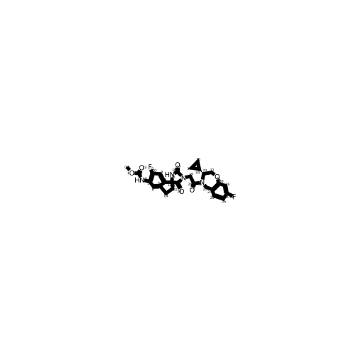 COC(=O)Nc1cc2c(cc1F)C1(CC2)NC(=O)N(CC(=O)N2Cc3ccc(F)cc3OC[C@H]2C2CC2)C1=O